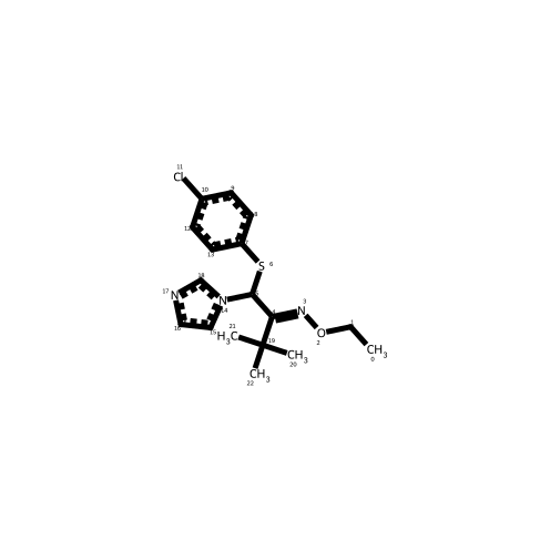 CCON=C(C(Sc1ccc(Cl)cc1)n1ccnc1)C(C)(C)C